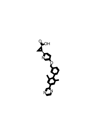 Cc1cc(-c2cnccn2)cc(C)c1-c1cccc(COc2ccc([C@H]3C[C@@H]3C(=O)O)nc2)c1